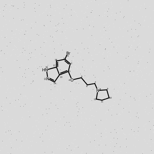 Brc1cc(OCCCN2CCCC2)c2cn[nH]c2c1